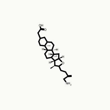 C=C(CN)CCC1O[C@H]2C[C@H]3[C@@H]4CCC5CC(CC(=O)O)CC[C@]5(C)[C@H]4CC[C@]3(C)[C@H]2[C@@H]1C